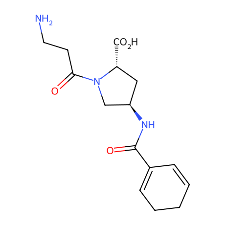 NCCC(=O)N1C[C@H](NC(=O)C2=CCCC=C2)C[C@H]1C(=O)O